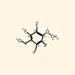 COc1c(F)c(F)c(C[O])c(F)c1F